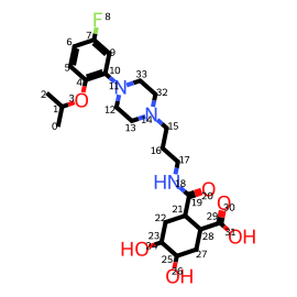 CC(C)Oc1ccc(F)cc1N1CCN(CCCNC(=O)C2CC(O)C(O)CC2C(=O)O)CC1